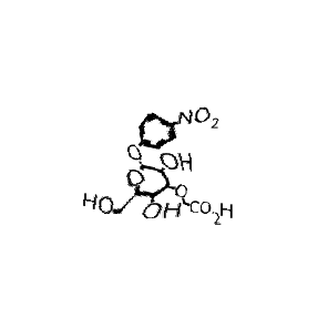 O=C(O)CO[C@H]1[C@@H](O)[C@@H](CO)O[C@H](Oc2ccc([N+](=O)[O-])cc2)[C@@H]1O